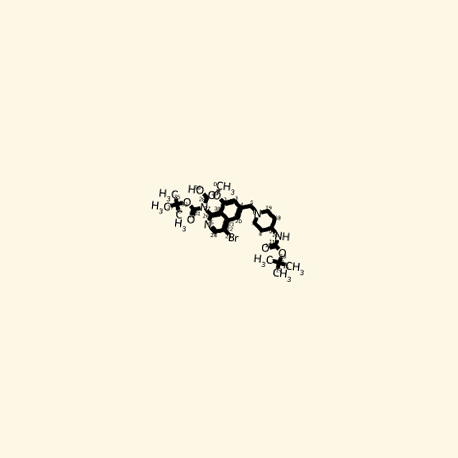 COc1cc(CN2CCC(NC(=O)OC(C)(C)C)CC2)cc2c(Br)cnc(N(C(=O)O)C(=O)OC(C)(C)C)c12